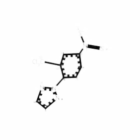 S=[N+]([S-])c1ccc(-n2nccn2)c(C(Cl)(Cl)Cl)c1